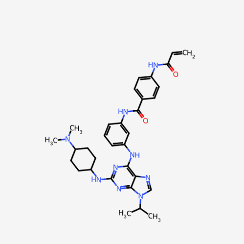 C=CC(=O)Nc1ccc(C(=O)Nc2cccc(Nc3nc(NC4CCC(N(C)C)CC4)nc4c3ncn4C(C)C)c2)cc1